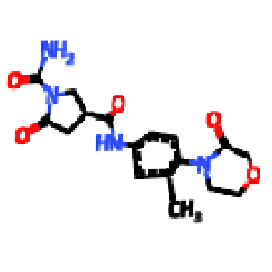 Cc1cc(NC(=O)[C]2CC(=O)N(C(N)=O)C2)ccc1N1CCOCC1=O